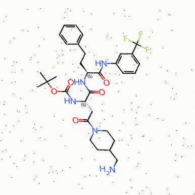 CC(C)(C)OC(=O)N[C@@H](CC(=O)N1CCC(CN)CC1)C(=O)N[C@@H](CCc1ccccc1)C(=O)Nc1cccc(C(F)(F)F)c1